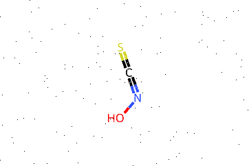 ON=C=S